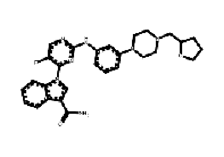 NC(=O)c1cn(-c2nc(Nc3cccc(N4CCN(CC5CCCO5)CC4)c3)ncc2F)c2ccccc12